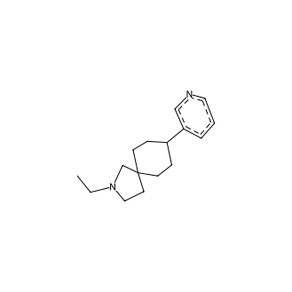 CCN1CCC2(CCC(c3cccnc3)CC2)C1